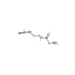 [N-]=[N+]=NCCOC(=O)CN